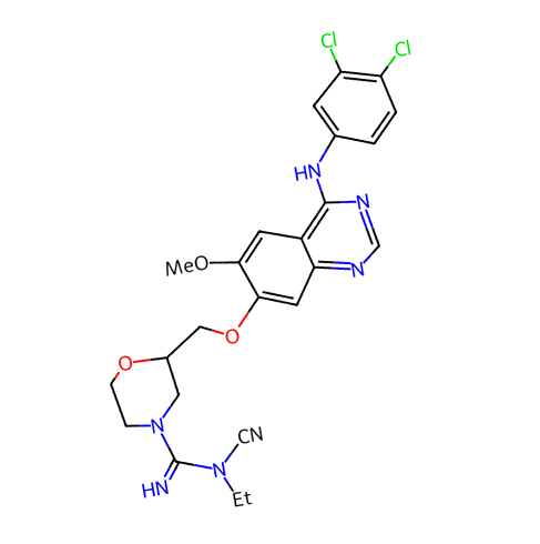 CCN(C#N)C(=N)N1CCOC(COc2cc3ncnc(Nc4ccc(Cl)c(Cl)c4)c3cc2OC)C1